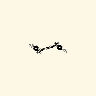 O=[N+]([O-])c1ccc(S(=O)(=O)OCCOCCOCCOS(=O)(=O)c2ccc([N+](=O)[O-])cc2)cc1